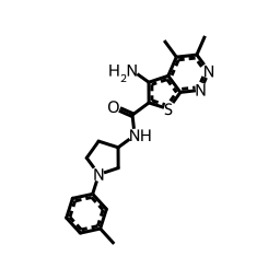 Cc1cccc(N2CCC(NC(=O)c3sc4nnc(C)c(C)c4c3N)C2)c1